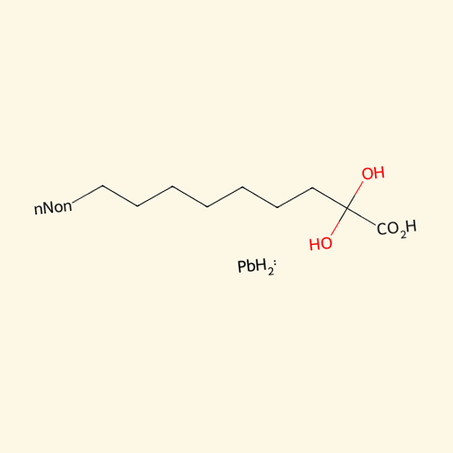 CCCCCCCCCCCCCCCCC(O)(O)C(=O)O.[PbH2]